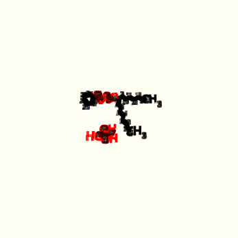 CCCCCCCC=C(CCCCCCC)OOOOOc1ccccc1.O=P(O)(O)O